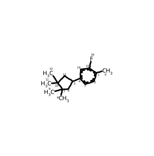 Cc1ccc(C2CC(C)(C)C(C)(C)C2)cc1F